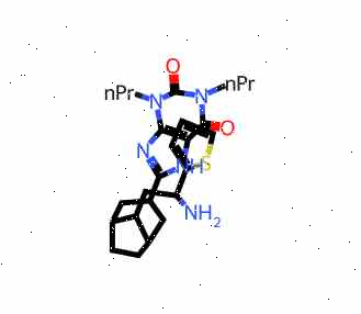 CCCn1c(=O)c2[nH]c(C3CC4CCC(C3)C4CC(N)c3cccs3)nc2n(CCC)c1=O